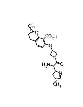 CN1C=NC(C(N)C(=O)N2CC(Oc3ccc4c(c3C(=O)O)OB(O)CC4)C2)C1